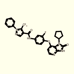 O=C(Nc1ccc(Oc2ccnc3[nH]c(=O)n(C4CCCC4)c23)c(F)c1)c1cnn(-c2ccccc2)c1C(F)(F)F